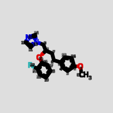 COc1ccc(CCC(Cn2ccnc2)Oc2ccccc2F)cc1